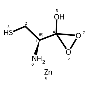 N[C@@H](CS)C1(O)OO1.[Zn]